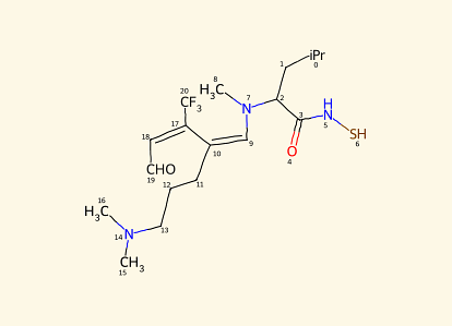 CC(C)CC(C(=O)NS)N(C)/C=C(CCCN(C)C)\C(=C/C=O)C(F)(F)F